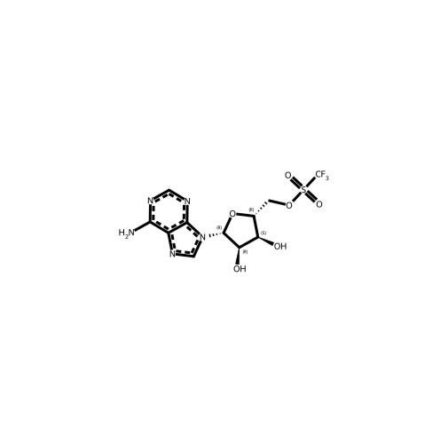 Nc1ncnc2c1ncn2[C@@H]1O[C@H](COS(=O)(=O)C(F)(F)F)[C@@H](O)[C@H]1O